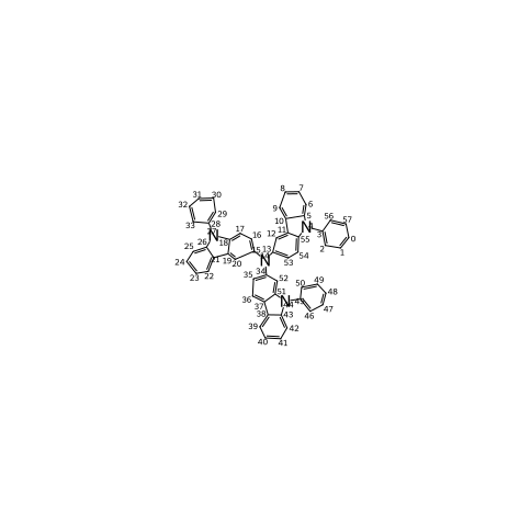 c1ccc(-n2c3ccccc3c3cc(N(c4ccc5c(c4)c4ccccc4n5-c4ccccc4)c4ccc5c6ccccc6n(-c6ccccc6)c5c4)ccc32)cc1